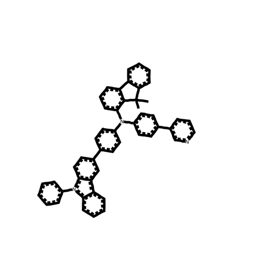 CC1(C)c2ccccc2-c2cccc(N(c3ccc(-c4cccnc4)cc3)c3ccc(-c4ccc5c(c4)c4ccccc4n5-c4ccccc4)cc3)c21